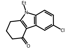 CCn1c2c(c3cc(Cl)ccc31)C(=O)CCC2